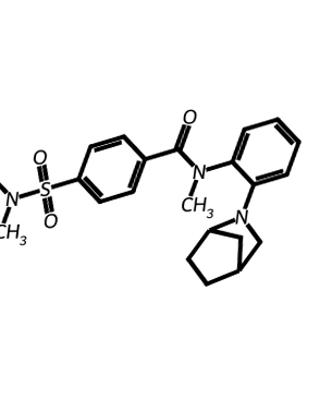 CN(C(=O)c1ccc(S(=O)(=O)N(C)I)cc1)c1ccccc1N1CC2CCC1C2